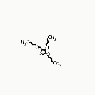 CCCCOC[C@@H]1SCC(OCCCC)[C@@H]1OCCCC